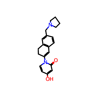 O=c1cc(O)ccn1C1=Cc2ccc(CN3CCCC3)cc2CC1